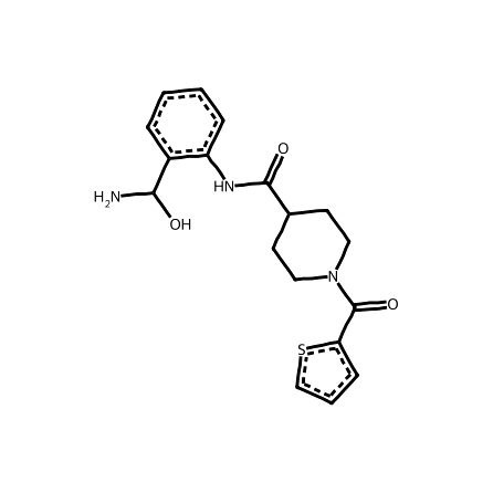 NC(O)c1ccccc1NC(=O)C1CCN(C(=O)c2cccs2)CC1